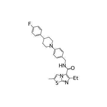 CCc1nc2sc(C)cn2c1C(=O)NCc1ccc(N2CCC(c3ccc(F)cc3)CC2)cc1